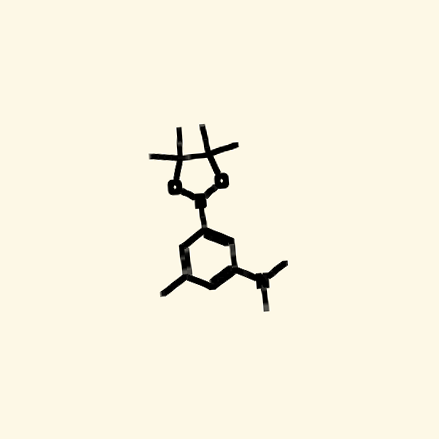 Cc1cc(B2OC(C)(C)C(C)(C)O2)cc(N(C)C)c1